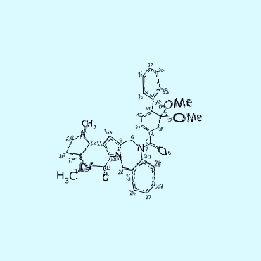 COC1(OC)CC(C(=O)N2Cc3ccc(C(=O)N(C)C4CCN(C)C4)n3Cc3ccccc32)=CC=C1c1ccccc1